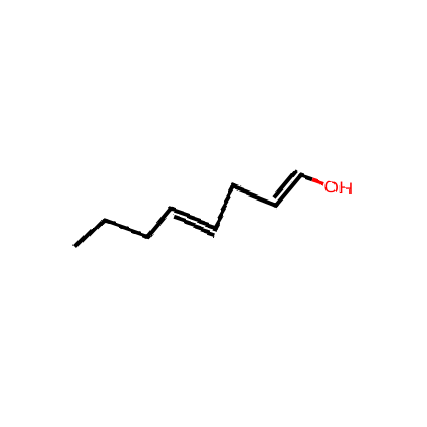 CCCC=CCC=CO